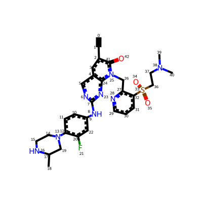 C#Cc1cc2cnc(Nc3ccc(N4CCNC(C)C4)c(F)c3)nc2n(Cc2ncccc2S(=O)(=O)CCN(C)C)c1=O